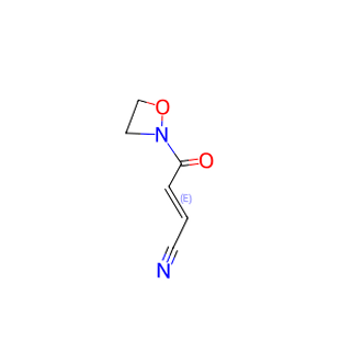 N#C/C=C/C(=O)N1CCO1